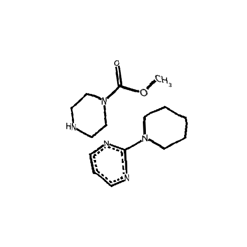 COC(=O)N1CCNCC1.c1cnc(N2CCCCC2)nc1